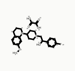 COc1ccc2c(c1)N(C1CCN(CC(O)c3ccc(F)cc3)CC1)CCC2.O=C(O)C(=O)O